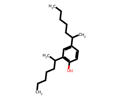 CCCCCC(C)c1ccc(O)c(C(C)CCCCC)c1